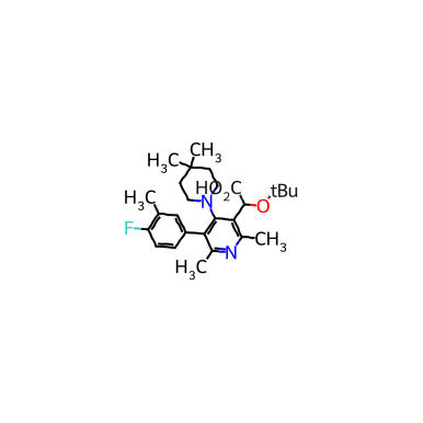 Cc1cc(-c2c(C)nc(C)c(C(OC(C)(C)C)C(=O)O)c2N2CCC(C)(C)CC2)ccc1F